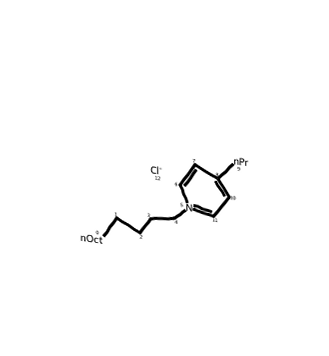 CCCCCCCCCCCC[n+]1ccc(CCC)cc1.[Cl-]